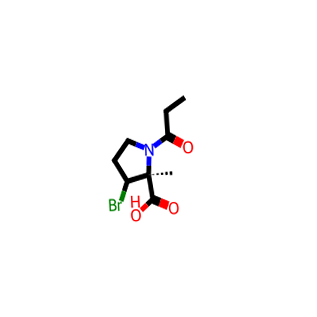 CCC(=O)N1CCC(Br)[C@]1(C)C(=O)O